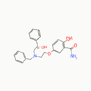 NC(=O)c1cc(OCCN(Cc2ccccc2)C[C@@H](O)c2ccccc2)ccc1O